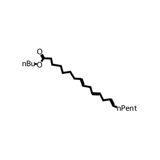 CCCCCC=CCC=CCC=CCCCCCCC(=O)OCCCC